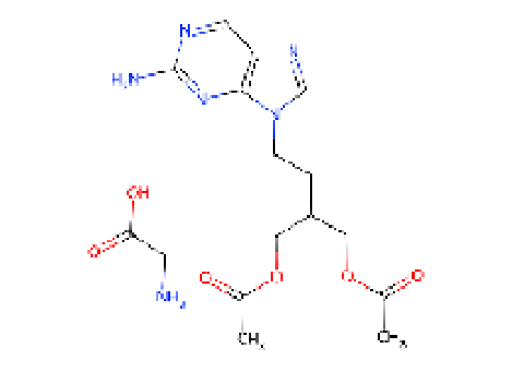 CC(=O)OCC(CCn1cnc2cnc(N)nc21)COC(C)=O.NCC(=O)O